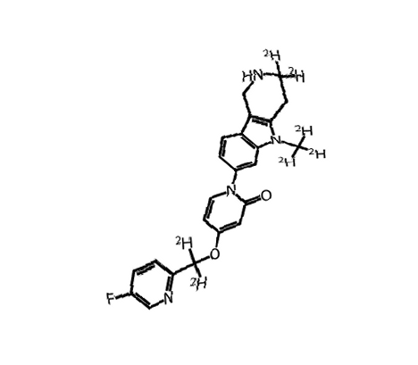 [2H]C1([2H])Cc2c(c3ccc(-n4ccc(OC([2H])([2H])c5ccc(F)cn5)cc4=O)cc3n2C([2H])([2H])[2H])CN1